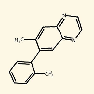 Cc1ccccc1-c1cc2nccnc2cc1C